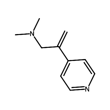 C=C(CN(C)C)c1ccncc1